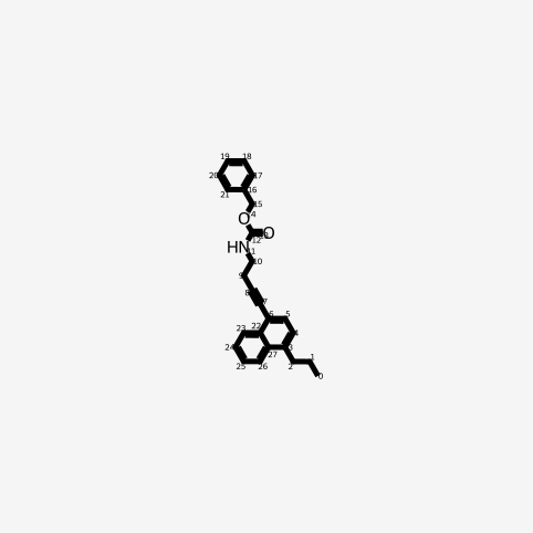 CCCc1ccc(C#CCCNC(=O)OCc2ccccc2)c2ccccc12